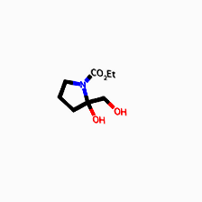 CCOC(=O)N1CCCC1(O)CO